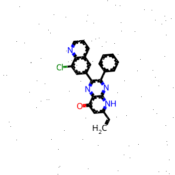 C=Cc1cc(=O)c2nc(-c3cc(Cl)c4ncccc4c3)c(-c3ccccc3)nc2[nH]1